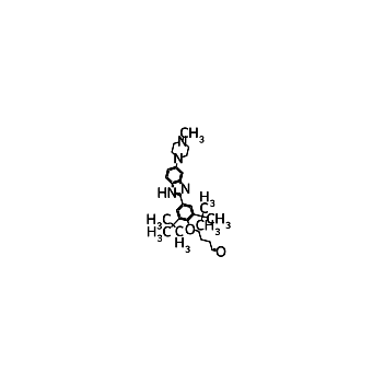 CN1CCN(c2ccc3[nH]c(-c4cc(C(C)(C)C)c(OCCCC=O)c(C(C)(C)C)c4)nc3c2)CC1